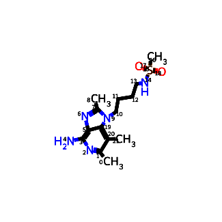 Cc1nc(N)c2nc(C)n(CCCCNS(C)(=O)=O)c2c1C